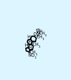 CC(C)(C)[Si](C)(C)O[C@@H]1CC[C@@]2(C)[C@@H](CC[C@@H]3[C@@H]2CC[C@]2(C)[C@@H]([N+](=O)[O-])CC[C@@H]32)C1